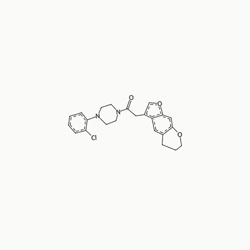 O=C(Cc1coc2cc3c(cc12)CCCO3)N1CCN(c2ccccc2Cl)CC1